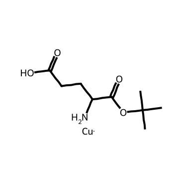 CC(C)(C)OC(=O)C(N)CCC(=O)O.[Cu]